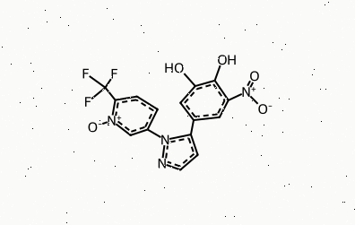 O=[N+]([O-])c1cc(-c2ccnn2-c2ccc(C(F)(F)F)[n+]([O-])c2)cc(O)c1O